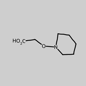 O=C(O)CON1CCCCC1